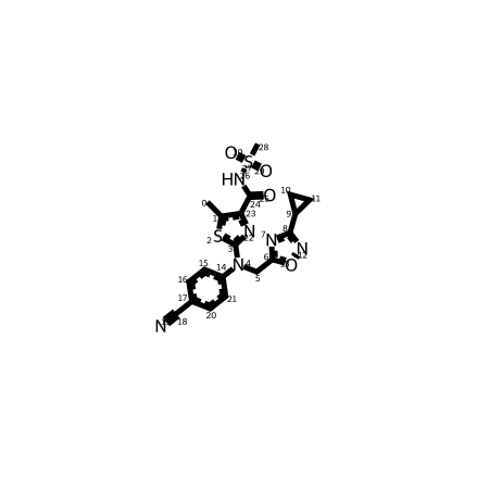 Cc1sc(N(Cc2nc(C3CC3)no2)c2ccc(C#N)cc2)nc1C(=O)NS(C)(=O)=O